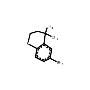 Bc1ccc2c(c1)C(C)(C)CCS2